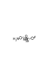 Nc1ccc(CC(N)C(=O)NCCc2ccc(F)cc2)cc1